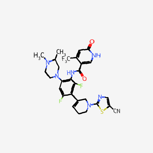 CC1CN(c2cc(F)c(C3=CCCN(c4ncc(C#N)s4)C3)c(F)c2NC(=O)c2c[nH]c(=O)cc2C(F)(F)F)CCN1C